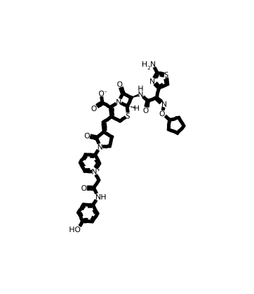 Nc1nc(/C(=N/OC2CCCC2)C(=O)N[C@@H]2C(=O)N3C(C(=O)[O-])=C(C=C4CCN(c5ccc[n+](CC(=O)Nc6ccc(O)cc6)c5)C4=O)CS[C@H]23)cs1